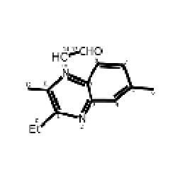 CCc1nc2cc(C)ccc2nc1C.O=CO